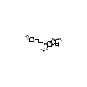 COc1cc2c(cc1OCCCN1CC[C@H](O)C1)N=C(N)C21CCC1